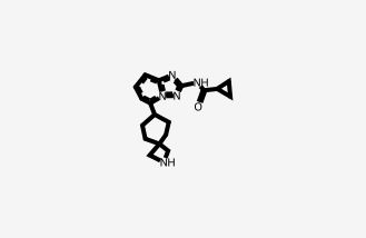 O=C(Nc1nc2cccc(C3CCC4(CC3)CNC4)n2n1)C1CC1